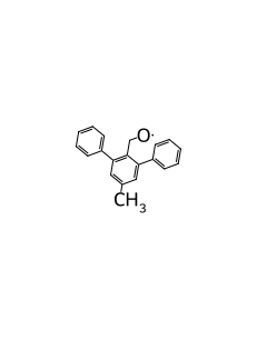 Cc1cc(-c2ccccc2)c(C[O])c(-c2ccccc2)c1